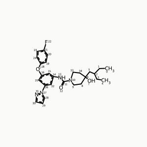 CCC(CC)CC1(O)CCN(C(=O)Nc2cc(Oc3ccc(F)cc3)cc(-n3cccn3)c2)CC1